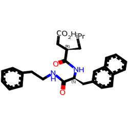 CC(C)C[C@H](CC(=O)O)C(=O)N[C@@H](Cc1ccc2ccccc2c1)C(=O)NCCc1ccccc1